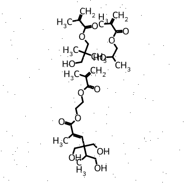 C=C(C)C(=O)OCC(C)(C)CO.C=C(C)C(=O)OCC(C)O.C=C(C)C(=O)OCCOC(=O)C(C)=CC(CO)(CO)C(C)CO